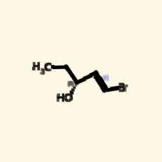 CC[C@@H](O)/C=C/Br